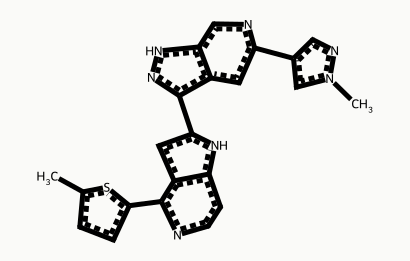 Cc1ccc(-c2nccc3[nH]c(-c4n[nH]c5cnc(-c6cnn(C)c6)cc45)cc23)s1